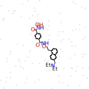 CCN(CC)Cc1ccc2c(CCONC(=O)c3ccc(C(=O)NO)cc3)cccc2c1